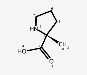 C[C@]1(C(=O)O)CCCN1